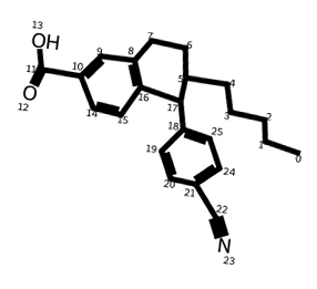 CCCCCC1CCc2cc(C(=O)O)ccc2C1c1ccc(C#N)cc1